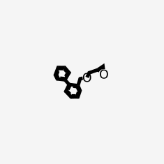 c1ccc(-c2ccccc2COCC2CO2)cc1